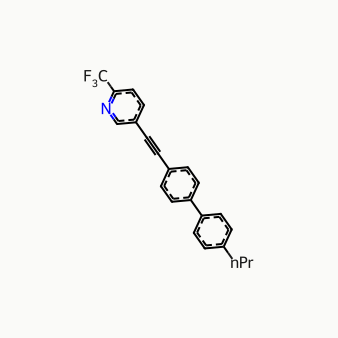 CCCc1ccc(-c2ccc(C#Cc3ccc(C(F)(F)F)nc3)cc2)cc1